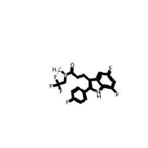 CN(CC(F)(F)F)C(=O)CCc1c(-c2ccc(F)cc2)[nH]c2c(F)cc(F)cc12